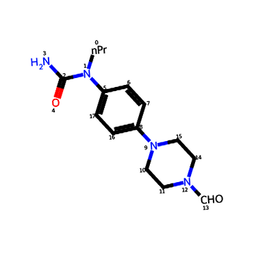 CCCN(C(N)=O)c1ccc(N2CCN(C=O)CC2)cc1